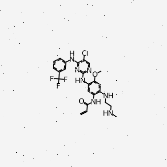 C=CC(=O)Nc1cc(Nc2ncc(Cl)c(Nc3cccc(C(F)(F)F)c3)n2)c(OC)cc1NCCNC